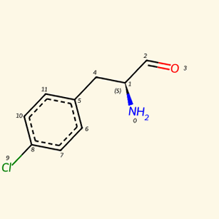 N[C@H](C=O)Cc1ccc(Cl)cc1